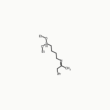 CCO[SiH](CCCCN=C(C)CC(C)C)OCC